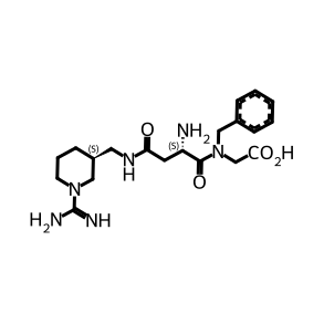 N=C(N)N1CCC[C@@H](CNC(=O)C[C@H](N)C(=O)N(CC(=O)O)Cc2ccccc2)C1